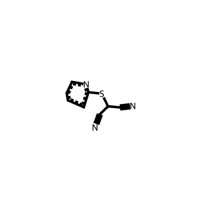 N#C[C](C#N)Sc1ccccn1